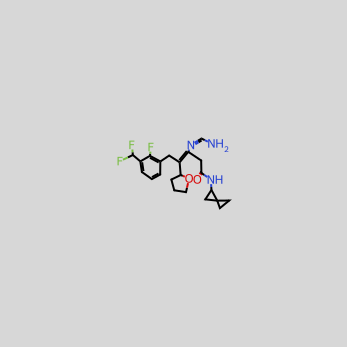 N/C=N\C(CC(=O)NC1CC12CC2)=C(/Cc1cccc(C(F)F)c1F)C1CCCO1